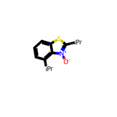 CC(C)c1cccc2sc(C(C)C)[n+]([O-])c12